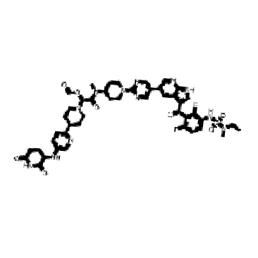 CCN(C)S(=O)(=O)Nc1ccc(F)c(C(=O)c2c[nH]c3ncc(-c4cnc(N5CCC(N(C)C(=O)C(OC=O)N6CCC(c7ccc(NC8CCC(=O)NC8=O)cn7)CC6)CC5)nc4)cc23)c1F